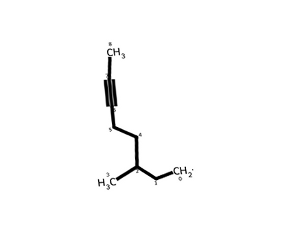 [CH2]CC(C)CCC#CC